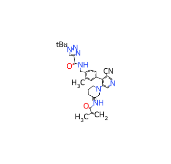 C=C(C)C(=O)N[C@@H]1CCCN(c2cncc(C#N)c2-c2ccc(CNC(=O)c3cn(C(C)(C)C)nn3)c(C)c2)C1